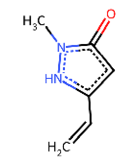 C=Cc1cc(=O)n(C)[nH]1